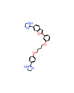 c1cc(OCCCCOc2ccc(C3=NCCN3)cc2)cc(-c2cc3ccc(C4=NCCN4)cc3o2)c1